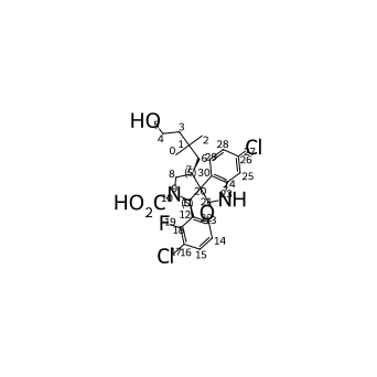 CC(C)(CCO)C[C@@H]1CN(C(=O)O)[C@H](c2cccc(Cl)c2F)C12C(=O)Nc1cc(Cl)ccc12